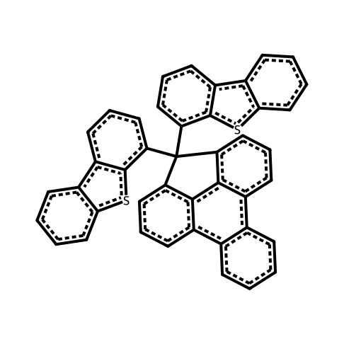 c1ccc2c(c1)sc1c(C3(c4cccc5c4sc4ccccc45)c4cccc5c6ccccc6c6cccc3c6c45)cccc12